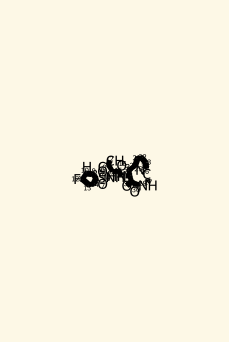 CC(C)C(NS(=O)(=O)c1ccc(F)cc1)C(=O)NC1Cc2cccc(n2)CCNC(=O)C1=O